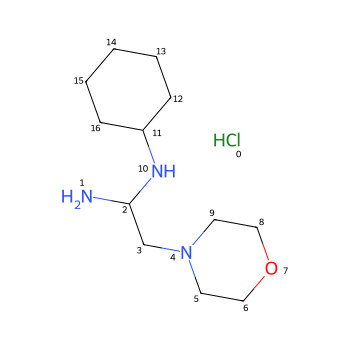 Cl.NC(CN1CCOCC1)NC1CCCCC1